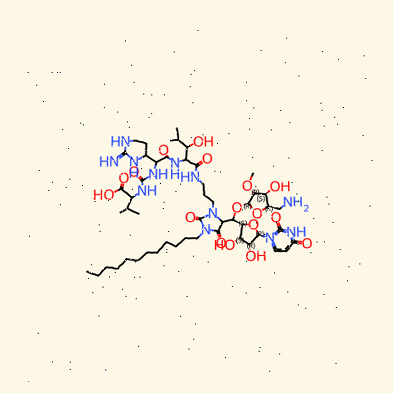 CCCCCCCCCCCCN1C(=O)C(C(O[C@H]2O[C@H](CN)[C@H](O)[C@H]2OC)[C@H]2O[C@@H](n3ccc(=O)[nH]c3=O)[C@H](O)[C@@H]2O)N(CCCNC(=O)C(NC(=O)C(NC(=O)NC(C(=O)O)C(C)C)C2CCNC(=N)N2)C(O)C(C)C)C1=O